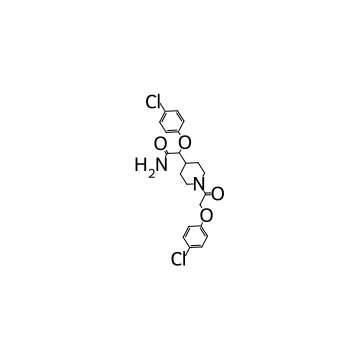 NC(=O)C(Oc1ccc(Cl)cc1)C1CCN(C(=O)COc2ccc(Cl)cc2)CC1